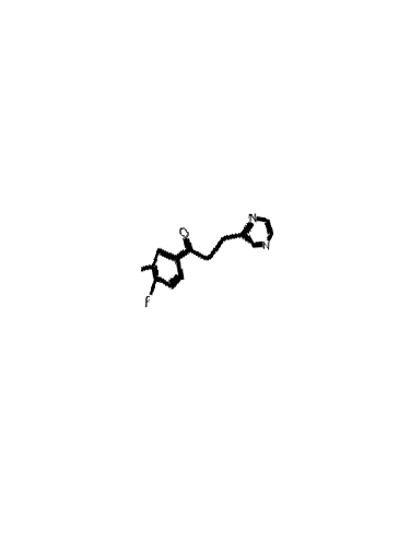 Cc1cc(C(=O)CCc2cnccn2)ccc1F